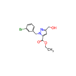 CCOC(=O)c1cc(CO)nn1Cc1cccc(Br)c1